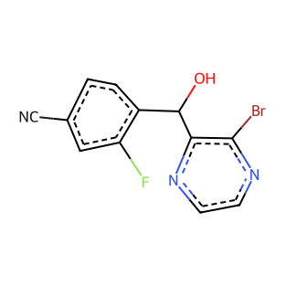 N#Cc1ccc(C(O)c2nccnc2Br)c(F)c1